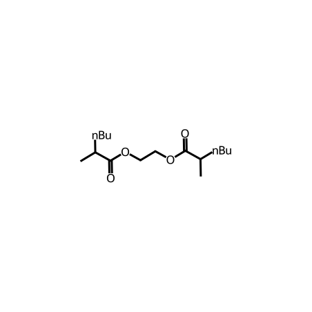 CCCCC(C)C(=O)OCCOC(=O)C(C)CCCC